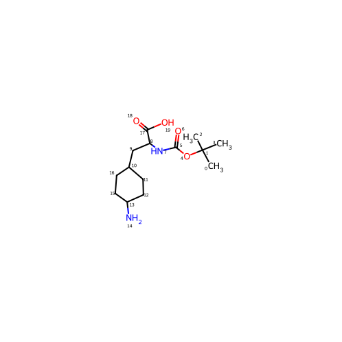 CC(C)(C)OC(=O)NC(CC1CCC(N)CC1)C(=O)O